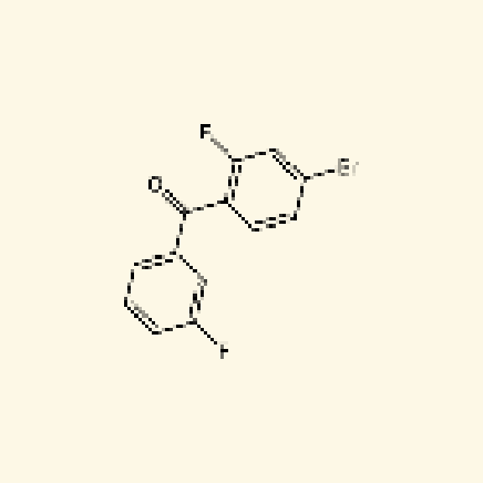 O=C(c1cccc(F)c1)c1ccc(Br)cc1F